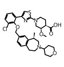 CO[C@H]1CN(c2nc(-c3cccc(Cl)c3OCc3ccc4c(c3)[C@@H](C)CN(C3CCOCC3)CC4)cs2)CC[C@H]1C(=O)O